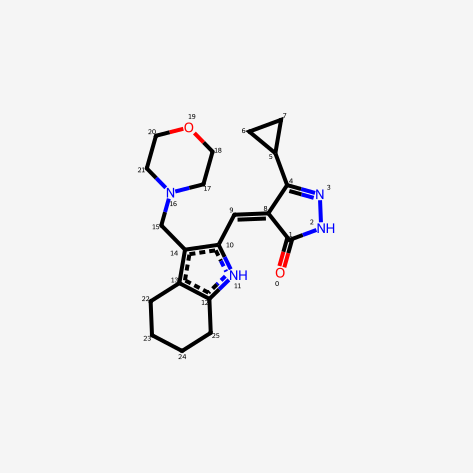 O=C1NN=C(C2CC2)C1=Cc1[nH]c2c(c1CN1CCOCC1)CCCC2